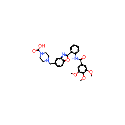 COc1cc(C(=O)Nc2ccccc2-c2nc3cc(CN4CCN(C(=O)O)CC4)ccc3o2)cc(OC)c1OC